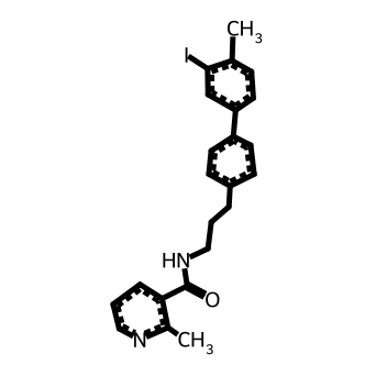 Cc1ccc(-c2ccc(CCCNC(=O)c3cccnc3C)cc2)cc1I